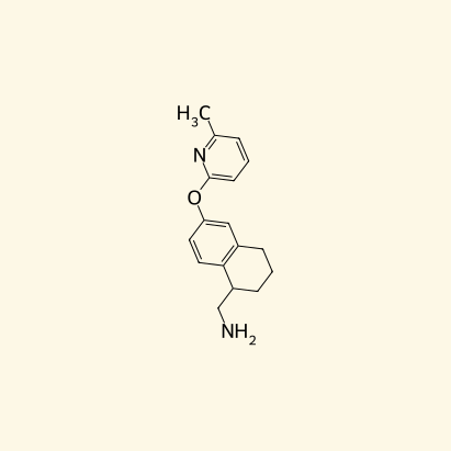 Cc1cccc(Oc2ccc3c(c2)CCCC3CN)n1